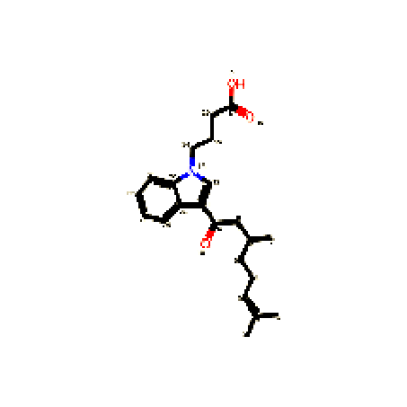 CC(C)=CCCC(C)CC(=O)c1cn(CCCC(=O)O)c2ccccc12